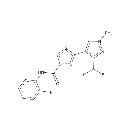 Cn1cc(-c2nc(C(=O)Nc3ccccc3F)cs2)c(C(F)F)n1